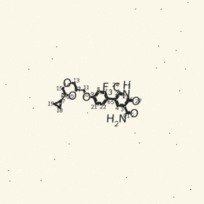 NC(=O)c1cc(-c2ccc(OC[C@@H]3COC[C@H](C4CC4)O3)cc2)c(C(F)(F)F)[nH]c1=O